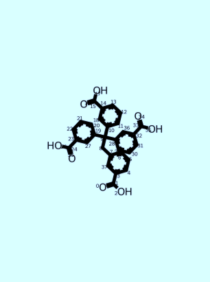 O=C(O)c1cccc(CC(c2cccc(C(=O)O)c2)(c2cccc(C(=O)O)c2)c2cccc(C(=O)O)c2)c1